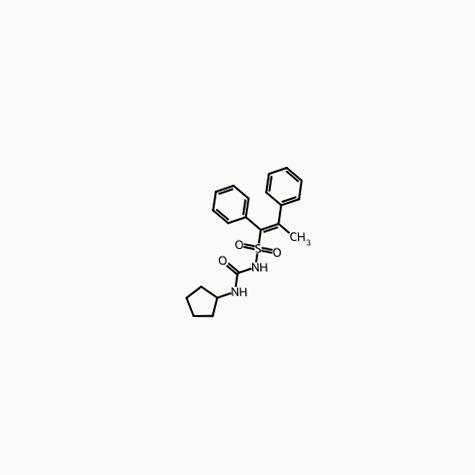 C/C(=C(/c1ccccc1)S(=O)(=O)NC(=O)NC1CCCC1)c1ccccc1